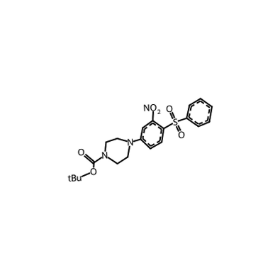 CC(C)(C)OC(=O)N1CCN(c2ccc(S(=O)(=O)c3ccccc3)c([N+](=O)[O-])c2)CC1